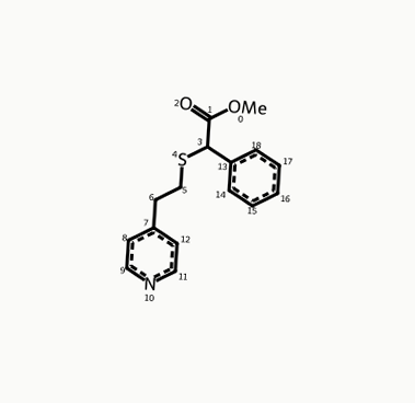 COC(=O)C(SCCc1ccncc1)c1ccccc1